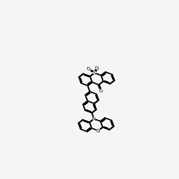 O=C1c2ccccc2S(=O)(=O)c2cccc(-c3ccc4cc(N5c6ccccc6Oc6ccccc65)ccc4c3)c21